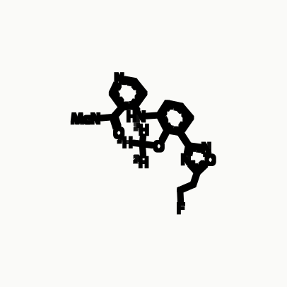 [2H]C([2H])([2H])Oc1c(Nc2ccncc2C(=O)NC)cccc1-c1noc(CCF)n1